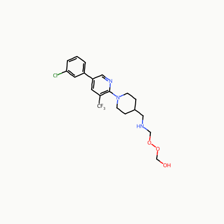 OCOOCNCC1CCN(c2ncc(-c3cccc(Cl)c3)cc2C(F)(F)F)CC1